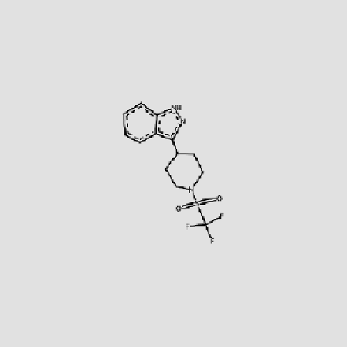 O=S(=O)(N1CCC(c2n[nH]c3cc[c]cc23)CC1)C(F)(F)F